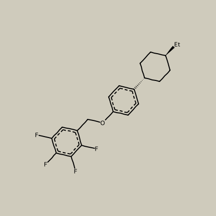 CC[C@H]1CC[C@H](c2ccc(OCc3cc(F)c(F)c(F)c3F)cc2)CC1